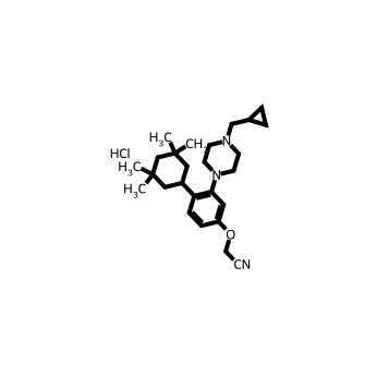 CC1(C)CC(c2ccc(OCC#N)cc2N2CCN(CC3CC3)CC2)CC(C)(C)C1.Cl